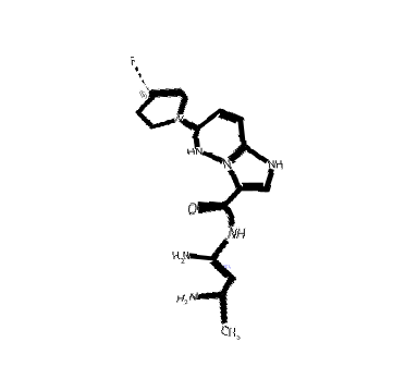 CC(N)/C=C(\N)NC(=O)C1=CNC2C=CC(N3CC[C@H](F)C3)NN12